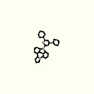 c1ccc(-c2cc(-c3ccccc3)nc(-n3c4cccc5c4c4c3cccc4n3cccc53)c2)cc1